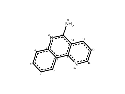 Nc1nc2ccccc2c2ncccc12